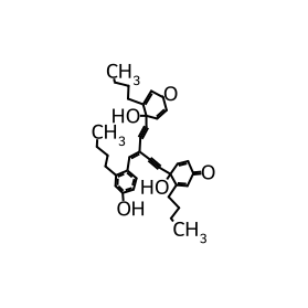 CCCCC1=CC(=O)C=CC1(O)C#CC(C#CC1(O)C=CC(=O)C=C1CCCC)=Cc1ccc(O)cc1CCCC